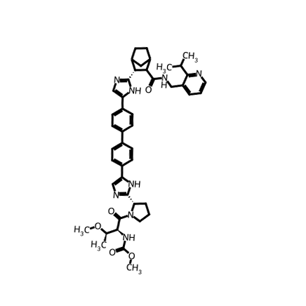 COC(=O)N[C@H](C(=O)N1CCC[C@H]1c1ncc(-c2ccc(-c3ccc(-c4cnc([C@@H]5C6CCC(C6)C5C(=O)NCc5cccnc5C(C)C)[nH]4)cc3)cc2)[nH]1)[C@@H](C)OC